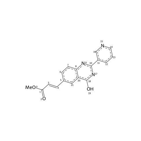 COC(=O)C=Cc1ccc2nc(-c3cccnc3)nc(O)c2c1